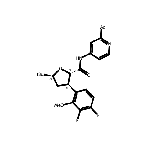 COc1c([C@H]2C[C@@H](C(C)(C)C)O[C@@H]2C(=O)Nc2ccnc(C(C)=O)c2)ccc(F)c1F